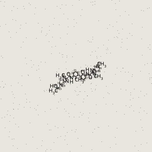 Cc1c(NC(=O)c2nc3c(n2C)CCN(C[C@@H](C)O)C3)cccc1-c1cccc(NC(=O)c2nc3c(n2C)CCN(C)C3)c1Cl